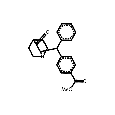 COC(=O)c1ccc(C(c2ccccc2)C2C(=O)C3CCN2CC3)cc1